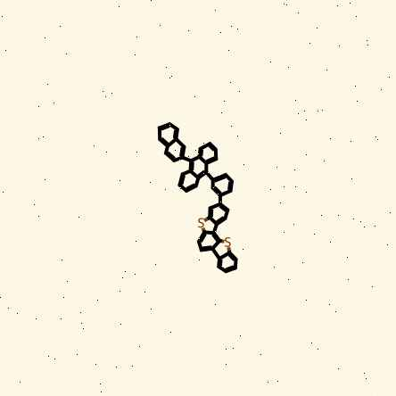 c1cc(-c2ccc3c(c2)sc2ccc4c5ccccc5sc4c23)cc(-c2c3ccccc3c(-c3ccc4ccccc4c3)c3ccccc23)c1